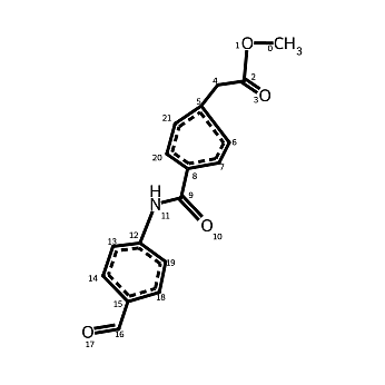 COC(=O)Cc1ccc(C(=O)Nc2ccc(C=O)cc2)cc1